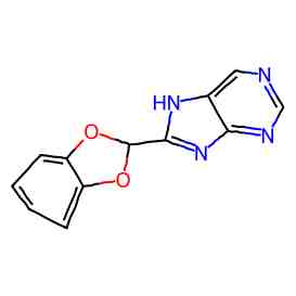 c1ccc2c(c1)OC(c1nc3ncncc3[nH]1)O2